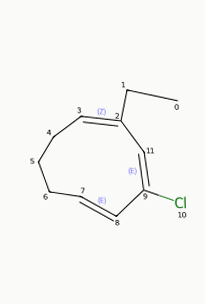 CCC1=C/CCC/C=C/C(Cl)=C\1